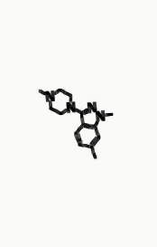 Cc1ccc2c(N3CCN(C)CC3)nn(C)c2c1